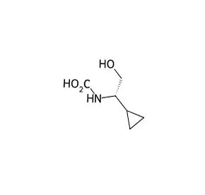 O=C(O)N[C@H](CO)C1CC1